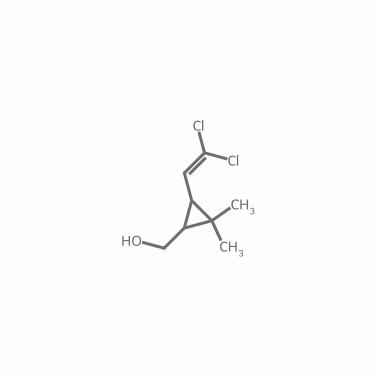 CC1(C)C(C=C(Cl)Cl)C1CO